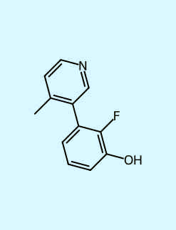 Cc1ccncc1-c1cccc(O)c1F